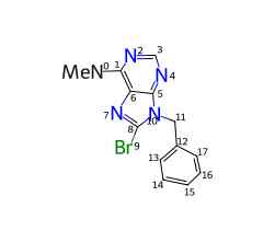 CNc1ncnc2c1nc(Br)n2Cc1ccccc1